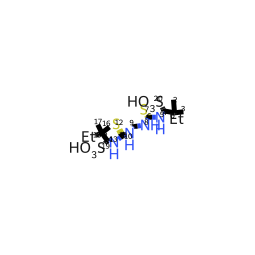 CCC(C)(C)C(NC(=S)NCNC(=S)NC(C(C)(C)CC)S(=O)(=O)O)S(=O)(=O)O